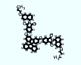 CCCOc1ccc2c(N3C(=O)c4ccc(Oc5ccc(C6(c7ccc(Oc8ccc9c(c8)C(=O)N(c8cccc%10cc(OCCC)ccc8%10)C9=O)cc7)c7ccccc7-c7ccccc76)cc5)cc4C3=O)cccc2c1